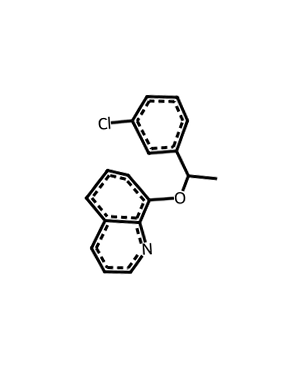 CC(Oc1cccc2cccnc12)c1cccc(Cl)c1